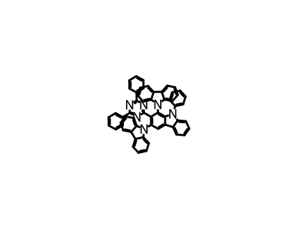 c1ccc(-c2nc(-c3ccccc3)nc(-c3c(-n4c5ccccc5c5ccccc54)cc4c5ccccc5n(-c5ccccc5)c4c3-n3c4ccccc4c4ccccc43)n2)cc1